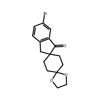 O=C1c2cc(Br)ccc2CC12CCC1(CC2)OCCO1